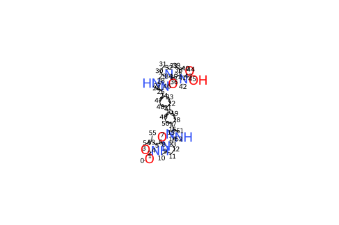 COC(=O)N[C@H](C(=O)N1C(C)CCC1c1nc(-c2ccc(-c3ccc(-c4c[nH]c([C@@H]5CC[C@H](C)N5C(=O)[C@@H](C(C)C)N(C)C(=O)O)n4)cc3)cc2)c[nH]1)C(C)C